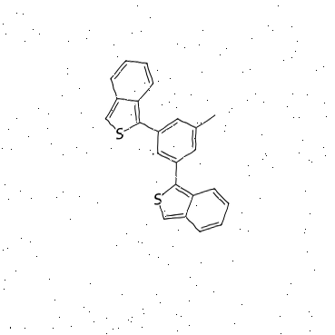 Cc1cc(-c2scc3ccccc23)[c]c(-c2scc3ccccc23)c1